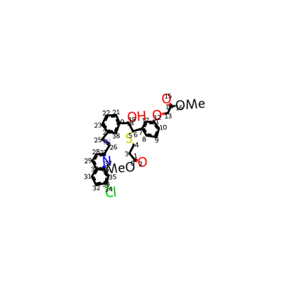 COC(=O)CCSC(c1cccc(OCC(=O)OC)c1)C(O)c1cccc(/C=C/c2ccc3ccc(Cl)cc3n2)c1